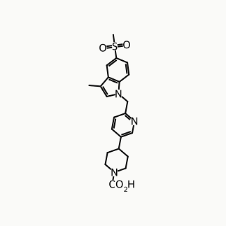 Cc1cn(Cc2ccc(C3CCN(C(=O)O)CC3)cn2)c2ccc(S(C)(=O)=O)cc12